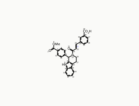 COC(=O)c1ccc(C2c3[nH]c4ccccc4c3CCN2C(=O)/C=C/c2cccc(C(=O)O)c2)cc1